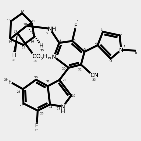 Cn1ccc(-c2c(F)c(N[C@@H]3C4CCC(CC4)[C@H]3C(=O)O)nc(-c3c[nH]c4c(F)cc(F)cc34)c2C#N)c1